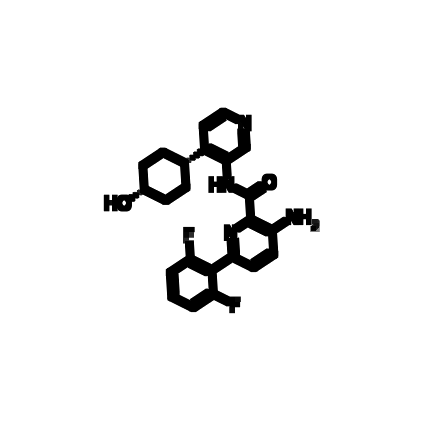 Nc1ccc(-c2c(F)cccc2F)nc1C(=O)Nc1cnccc1[C@H]1CC[C@@H](O)CC1